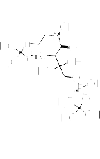 CN(C[CH2][Lu][C](C)(C)C)C(=O)C(O)C(C)(C)COP(=O)(O)OC(C)(C)C